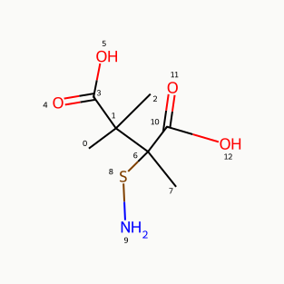 CC(C)(C(=O)O)C(C)(SN)C(=O)O